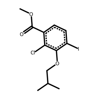 COC(=O)c1ccc(I)c(OCC(C)C)c1Cl